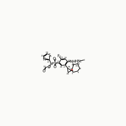 CN[C@H]1CCCC[C@@H]1Nc1cc(F)c(S(=O)(=O)N(OC=O)c2nccs2)cc1C1CC1